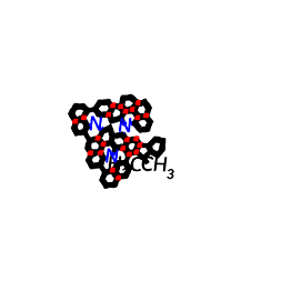 CC1(C)c2ccccc2-c2cc3c(N(c4ccccc4-c4ccccc4)c4ccccc4-c4ccccc4)c4cc(N(c5ccccc5-c5ccccc5)c5ccccc5-c5ccccc5)ccc4c(N(c4ccccc4-c4ccccc4)c4ccccc4-c4ccccc4)c3cc21